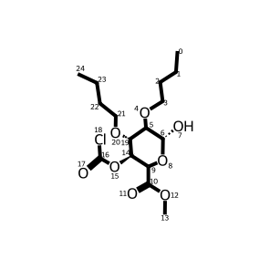 CCCCOC1[C@H](O)OC(C(=O)OC)[C@@H](OC(=O)Cl)[C@@H]1OCCCC